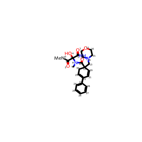 CNC(=O)C(O)(C(N)=O)N(C)C(=O)C1(CN2CCOCC2)C=CC(c2ccccc2)=CC1